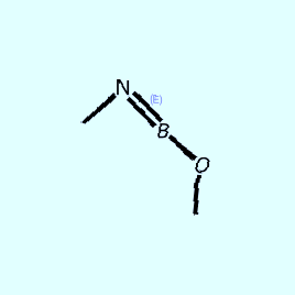 C/N=B/OC